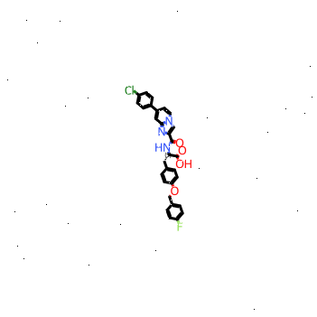 O=C(N[C@@H](Cc1ccc(OCc2ccc(F)cc2)cc1)C(=O)O)c1cn2ccc(-c3ccc(Cl)cc3)cc2n1